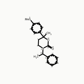 CSc1ccc(C2(C)CCN(C(C)c3ccccc3)C(=O)O2)cc1